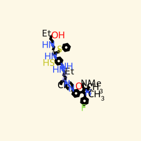 C=C/C(=C\C=C(/CC)NNc1ccc(N[C@H](CCNCCC(O)CC)CSc2ccccc2)c(S)c1)N1CCN(c2cccc(-c3c(C(=O)NC)c(C)n(C)c3-c3ccc(F)cc3)c2)CC1